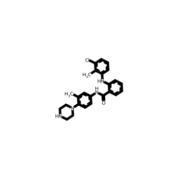 Cc1cc(NC(=O)c2ccccc2Nc2cccc(Cl)c2C)ccc1N1CCNCC1